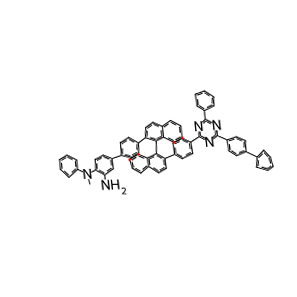 CN(c1ccccc1)c1ccc(-c2ccc(-c3ccc4ccccc4c3-c3c(-c4ccc(-c5nc(-c6ccccc6)nc(-c6ccc(-c7ccccc7)cc6)n5)cc4)ccc4ccccc34)cc2)cc1N